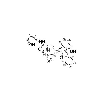 C[N+]1(CC(=O)Nc2cccnn2)CCC(OC(=O)C(O)(c2ccccc2)c2ccccc2)C1.[Br-]